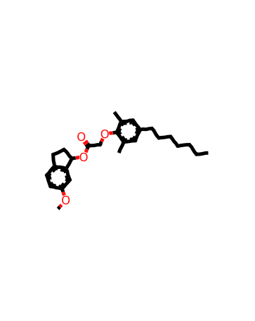 CCCCCCCc1cc(C)c(OCC(=O)OC2CCc3ccc(OC)cc32)c(C)c1